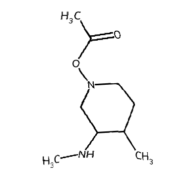 CNC1CN(OC(C)=O)CCC1C